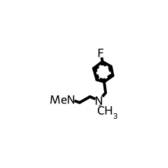 CNCCN(C)Cc1ccc(F)cc1